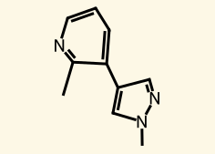 Cc1ncccc1-c1cnn(C)c1